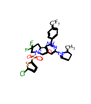 CC1CCCN1c1cc(C[N+]2(S(=O)(=O)c3ccc(Cl)s3)CC(F)(F)C[C@H]2C(N)=O)cc(-c2ccc(C(F)(F)F)cc2)n1